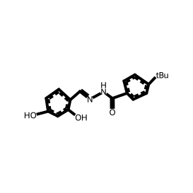 CC(C)(C)c1ccc(C(=O)N/N=C/c2ccc(O)cc2O)cc1